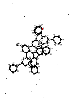 N#Cc1cc(-c2cc(-c3ccccc3)nc(-c3ccccc3)n2)c(-n2c3ccccc3c3ccc(-c4nc(-c5ccccc5)nc(-c5ccccc5)n4)cc32)c(-c2nc(-c3ccccc3)cc(-c3ccccc3)n2)c1